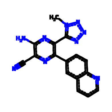 Cn1nnnc1-c1nc(N)c(C#N)nc1-c1ccc2ncccc2c1